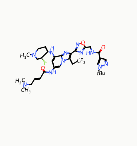 CN(C)C/C=C/C(=O)Nc1cc(N[C@@H]2CCN(C)C[C@@H]2F)c2nc(-c3noc(CNC(=O)c4cnn(C(C)(C)C)c4)n3)c(CC(F)(F)F)n2c1